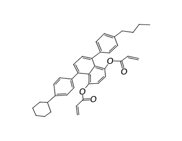 C=CC(=O)Oc1ccc(OC(=O)C=C)c2c(-c3ccc(C4CCCCC4)cc3)ccc(-c3ccc(CCCC)cc3)c12